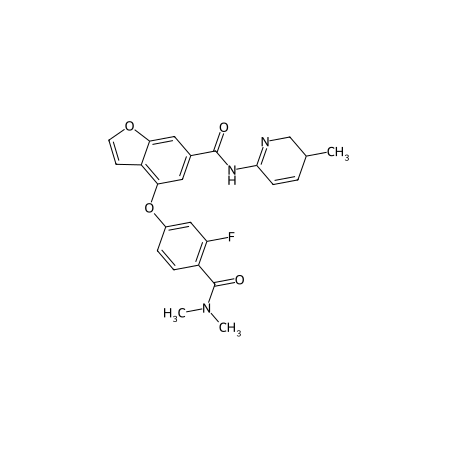 CC1C=CC(NC(=O)c2cc(Oc3ccc(C(=O)N(C)C)c(F)c3)c3ccoc3c2)=NC1